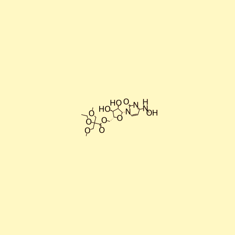 CCOC(COC)(COC)C(=O)OC[C@H]1O[C@@H](n2ccc(NO)nc2=O)[C@H](O)[C@@H]1O